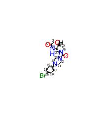 O=C1CO[C@H]2CCN(C(=O)N3CCN(c4ccc(Br)cc4)CC3)CC2N1